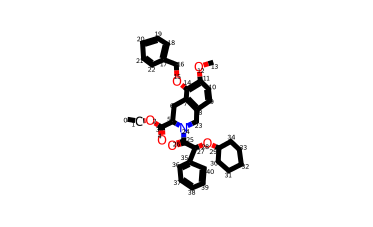 CCOC(=O)C1Cc2c(ccc(OC)c2OCc2ccccc2)CN1C(=O)C(OC1CCCCC1)c1ccccc1